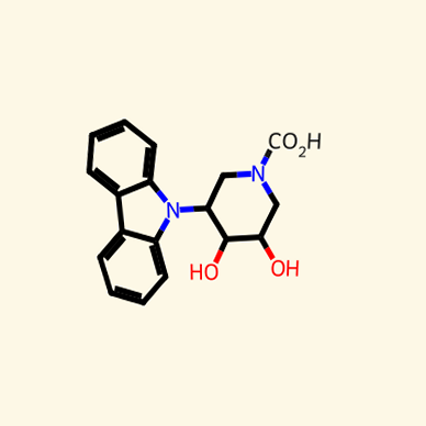 O=C(O)N1CC(O)C(O)C(n2c3ccccc3c3ccccc32)C1